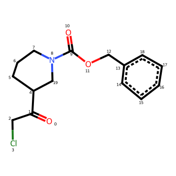 O=C(CCl)C1CCCN(C(=O)OCc2ccccc2)C1